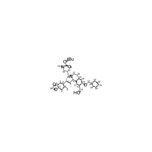 Cc1cc2c(cc1/C=C/C1c3cc(CO)c(OCc4ccccc4)cc3CCN1CCCN(C)C(=O)OC(C)(C)C)OCO2